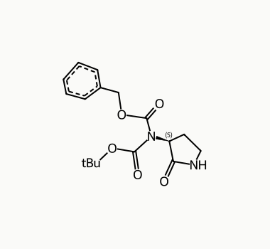 CC(C)(C)OC(=O)N(C(=O)OCc1ccccc1)[C@H]1CCNC1=O